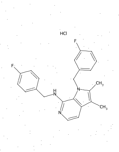 Cc1c(C)n(Cc2cccc(F)c2)c2c(NCc3ccc(F)cc3)nccc12.Cl